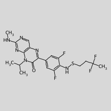 CNc1ncc2nc(-c3cc(F)c(NSCCC(C)(F)F)c(F)c3)c(=O)n(C(C)C)c2n1